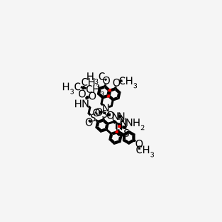 COc1ccc(CN(Cc2ccc(OC)cc2)S(=O)(=O)c2c(S(=O)(=O)CCNC(=O)OC(C)(C)C)ccc(-c3cccc4sc(N)nc34)c2-c2nnnn2Cc2ccc(OC)cc2)cc1